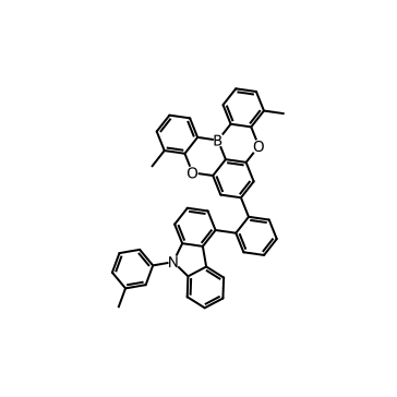 Cc1cccc(-n2c3ccccc3c3c(-c4ccccc4-c4cc5c6c(c4)Oc4c(C)cccc4B6c4cccc(C)c4O5)cccc32)c1